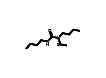 CCCCNC(=O)N(CCCC)[Se]C